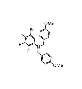 COc1ccc(CN(Cc2ccc(OC)cc2)c2cc(Br)c(C)c(F)c2F)cc1